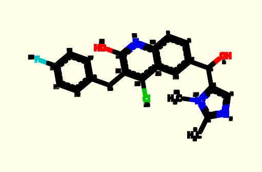 Cc1ncc(C(O)c2ccc3nc(O)c(Cc4ccc(F)cc4)c(Cl)c3c2)n1C